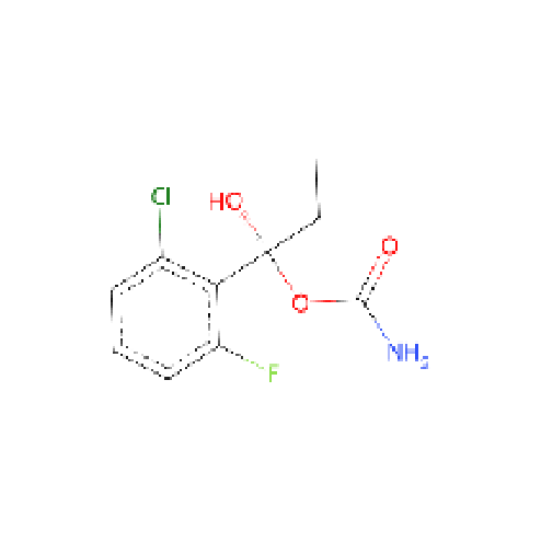 CC[C@@](O)(OC(N)=O)c1c(F)cccc1Cl